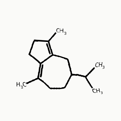 CC1=C2CCC(C)=C2CC(C(C)C)CC1